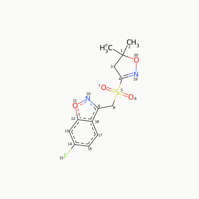 CC1(C)CC(S(=O)(=O)Cc2noc3cc(F)ccc23)=NO1